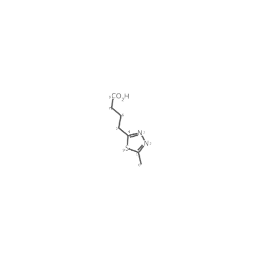 Cc1nnc(CC[CH]C(=O)O)s1